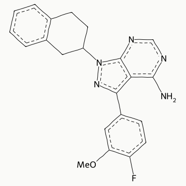 COc1cc(-c2nn(C3CCc4ccccc4C3)c3ncnc(N)c23)ccc1F